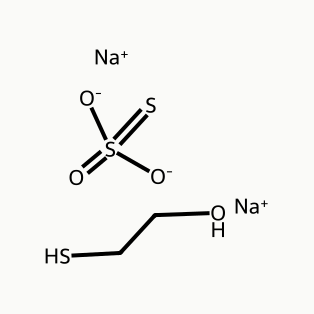 O=S([O-])([O-])=S.OCCS.[Na+].[Na+]